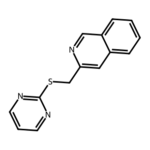 c1cnc(SCc2cc3ccccc3cn2)nc1